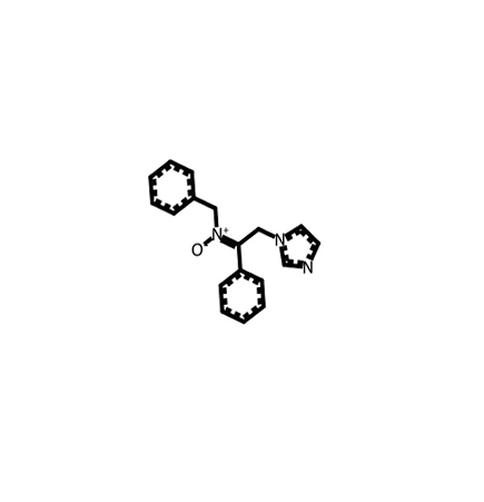 [O-][N+](Cc1ccccc1)=C(Cn1ccnc1)c1ccccc1